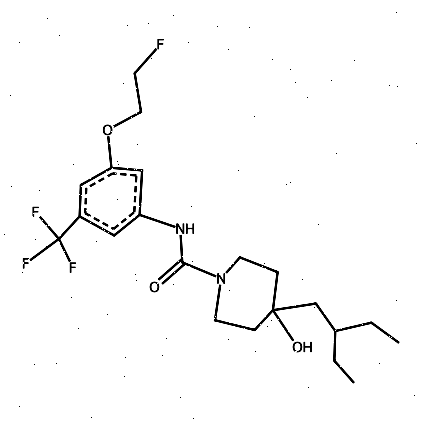 CCC(CC)CC1(O)CCN(C(=O)Nc2cc(OCCF)cc(C(F)(F)F)c2)CC1